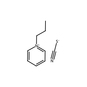 CCC[n+]1ccccc1.N#C[S-]